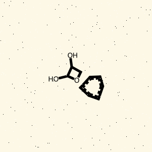 OC1COC1O.c1ccccc1